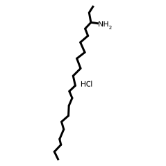 CCCCCCCCCCCCCCCCCCC(N)CC.Cl